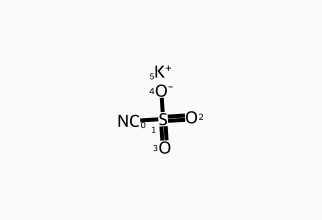 N#CS(=O)(=O)[O-].[K+]